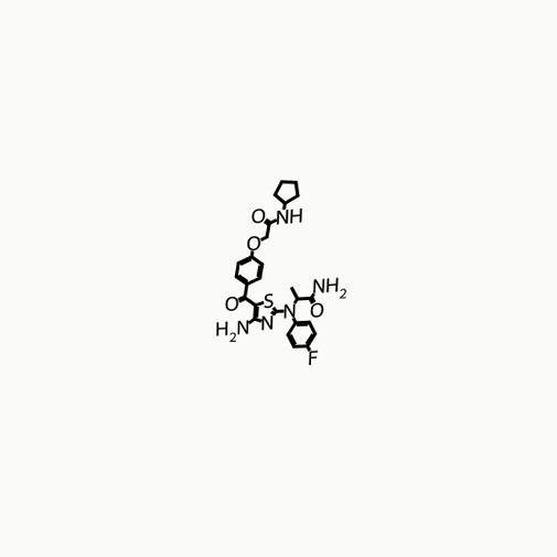 CC(C(N)=O)N(c1ccc(F)cc1)c1nc(N)c(C(=O)c2ccc(OCC(=O)NC3CCCC3)cc2)s1